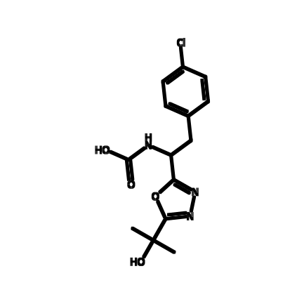 CC(C)(O)c1nnc(C(Cc2ccc(Cl)cc2)NC(=O)O)o1